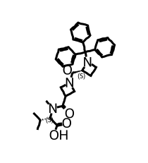 CC(C)[C@@H](C(=O)O)N(C)C(=O)C1CN(C(=O)[C@@H]2CCN2C(c2ccccc2)(c2ccccc2)c2ccccc2)C1